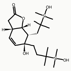 CC(C)(CC[C@]1(O)C=C[C@@H]2CC(=O)O[C@@H]2[C@@H]1CC(C)(C)[Si](C)(C)O)[Si](C)(C)O